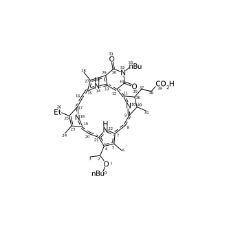 CCCCOC(C)c1c(C)c2cc3nc(c4c5[nH]c(cc6nc(cc1[nH]2)C(C)=C6CC)c(C)c5C(=O)N(CCCC)C4=O)C(CCC(=O)O)C3C